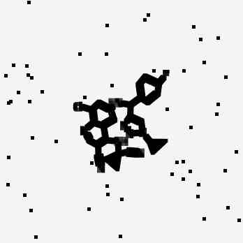 N#Cc1cnc2c(Cl)cc(NC(c3ccc(F)cc3)c3cn(C4CC4)nn3)cc2c1NC1(C#N)CC1